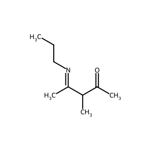 CCC/N=C(\C)C(C)C(C)=O